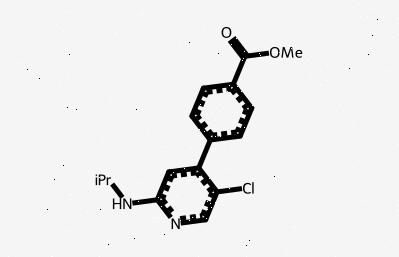 COC(=O)c1ccc(-c2cc(NC(C)C)ncc2Cl)cc1